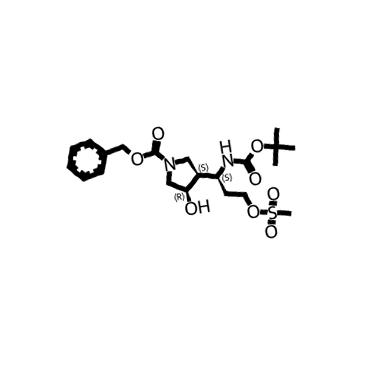 CC(C)(C)OC(=O)N[C@@H](CCOS(C)(=O)=O)[C@@H]1CN(C(=O)OCc2ccccc2)C[C@@H]1O